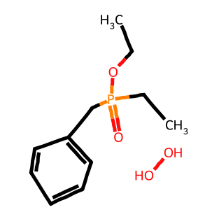 CCOP(=O)(CC)Cc1ccccc1.OO